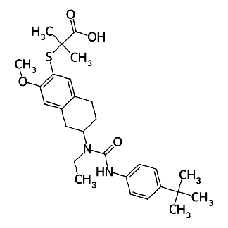 CCN(C(=O)Nc1ccc(C(C)(C)C)cc1)C1CCc2cc(SC(C)(C)C(=O)O)c(OC)cc2C1